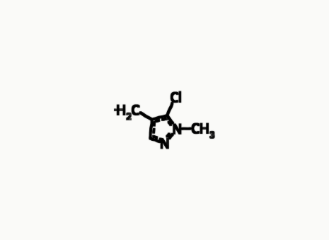 [CH2]c1cnn(C)c1Cl